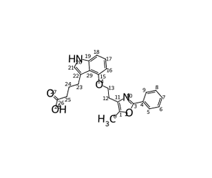 Cc1oc(-c2ccccc2)nc1CCOc1cccc2[nH]cc(CCCC(=O)O)c12